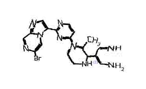 CC1C(/C(C=N)=C/N)NCCN1c1ccnc(-c2cnc3cnc(Br)cn23)n1